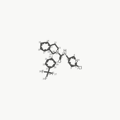 O=C(Nc1ccc(Cl)nc1)N1CCc2ccccc2[C@H]1c1ccc(C(F)(F)F)cc1